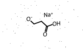 O=C(O)CC[O-].[Na+]